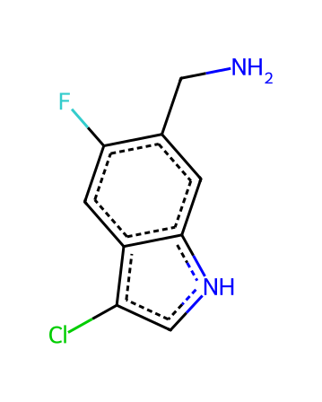 NCc1cc2[nH]cc(Cl)c2cc1F